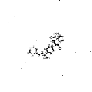 NC(=O)[C@]12[CH]CCN1C(=O)N(c1ccc(C3(CCN4CCOCC4)CC3)cc1)C2=O